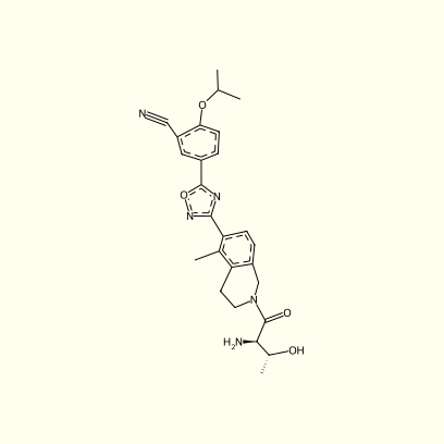 Cc1c(-c2noc(-c3ccc(OC(C)C)c(C#N)c3)n2)ccc2c1CCN(C(=O)[C@H](N)[C@@H](C)O)C2